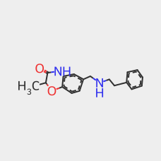 CC1Oc2ccc(CNCCc3ccccc3)cc2NC1=O